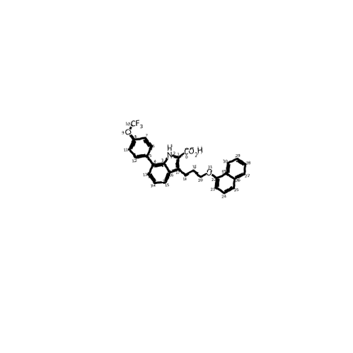 O=C(O)c1[nH]c2c(-c3ccc(OC(F)(F)F)cc3)cccc2c1CCCOc1cccc2ccccc12